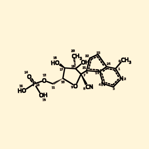 Cc1ncnn2c([C@]3(C#N)O[C@H](COP(=O)(O)O)[C@@H](O)[C@@]3(C)O)ccc12